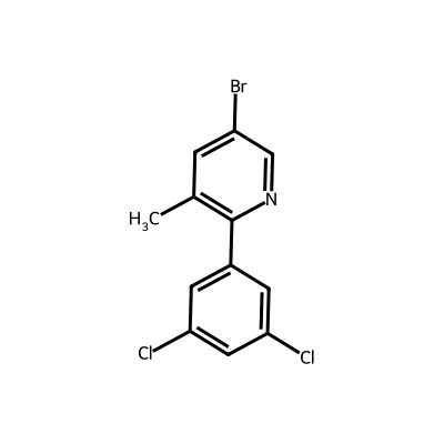 Cc1cc(Br)cnc1-c1cc(Cl)cc(Cl)c1